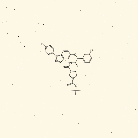 COc1cccc(C(Oc2ccc3c(cnn3-c3ccc(F)cc3)c2)C(C)NC(=O)C2CCN(C(=O)OC(C)(C)C)C2)c1